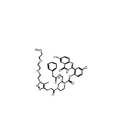 COCCOCCOCCn1nnc(CCC(=O)N2CCN(C(=O)Oc3ccc(Cl)cc3-c3nc4ccc(Cl)cc4c(=O)[nH]3)C(CNC(=O)Cc3ccccc3)C2)c1I